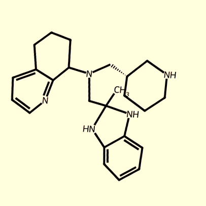 CC1(CN(C[C@H]2CCCNC2)C2CCCc3cccnc32)Nc2ccccc2N1